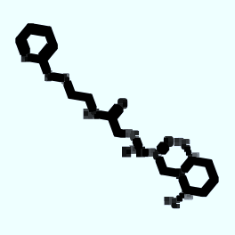 [13CH3][C@@H]1CCC[C@H]([13CH3])N1C[13C](=O)[15NH][13CH2]CC(=O)NCCSSc1ccccn1